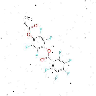 C=CC(=O)Oc1c(F)c(F)c(OC(=O)c2c(F)c(F)c(F)c(F)c2F)c(F)c1F